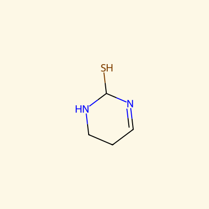 SC1N=CCCN1